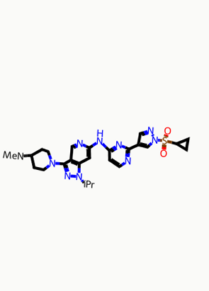 CNC1CCN(c2nn(C(C)C)c3cc(Nc4ccnc(-c5cnn(S(=O)(=O)C6CC6)c5)n4)ncc23)CC1